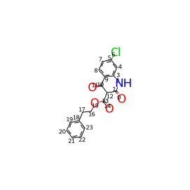 O=C1Nc2cc(Cl)ccc2C(=O)C1C(=O)OCCc1ccccc1